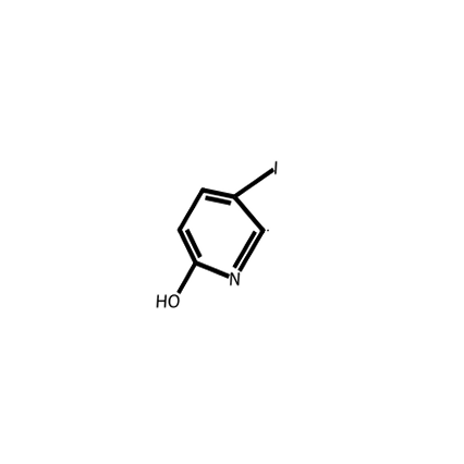 Oc1ccc(I)[c]n1